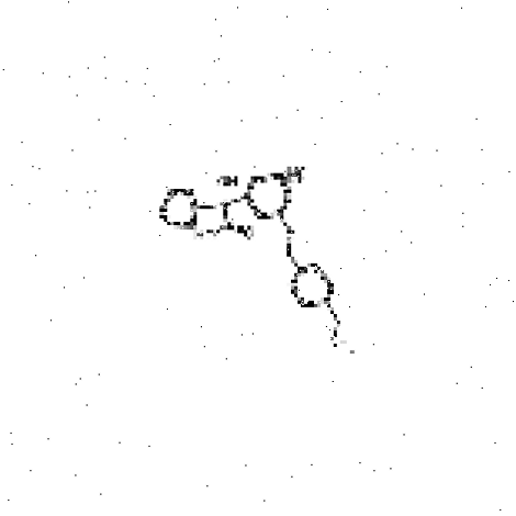 Cl.Cl.NCc1ccc(COc2cccc(C(O)(C(=O)O)c3ccccc3)c2)cc1